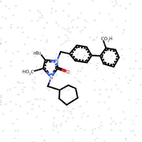 CCCCc1c(C(=O)O)n(CC2CCCCC2)c(=O)n1Cc1ccc(-c2ccccc2C(=O)O)cc1